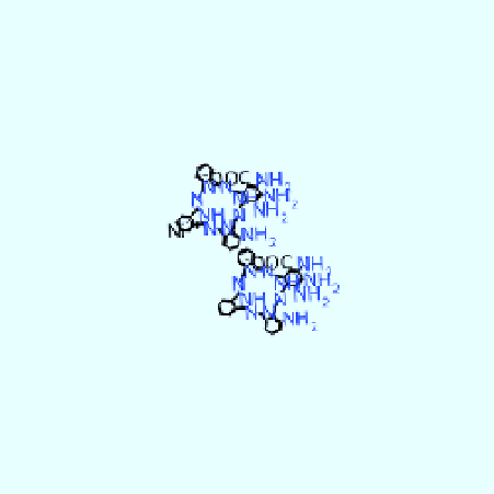 Nc1cccc2c1-c1nc-2nc2[nH]c(nc3nc(nc4[nH]c(n1)c1c(N)c(N)c(N)c(C(=O)[O-])c41)-c1ccccc1-3)c1ccccc21.Nc1cccc2c1-c1nc-2nc2[nH]c(nc3nc(nc4[nH]c(n1)c1c(N)c(N)c(N)c(C(=O)[O-])c41)-c1ccccc1-3)c1ccccc21.[Ni+2]